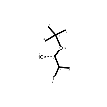 CC(F)[C@H](O)OC(C)(C)C